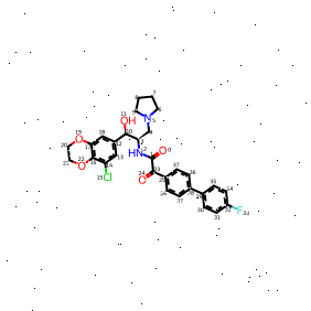 O=C(N[C@H](CN1CCCC1)[C@H](O)c1cc(Cl)c2c(c1)OCCO2)C(=O)c1ccc(-c2ccc(F)cc2)cc1